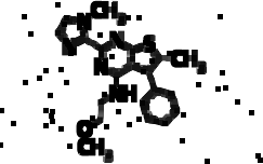 COCCNc1nc(-c2nccn2C)nc2sc(C)c(-c3ccccc3)c12